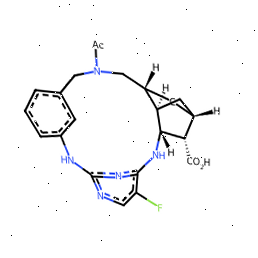 CC(=O)N1Cc2cccc(c2)Nc2ncc(F)c(n2)N[C@@H]2[C@@H]3C[C@@H](C[C@H]3C1)[C@@H]2C(=O)O